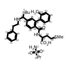 CC(C)S(N)(=O)=O.CCCCC(NCCc1ccccc1)c1ccc(C(=O)NC(CCSC)C(=O)O)c(-c2ccccc2C)c1